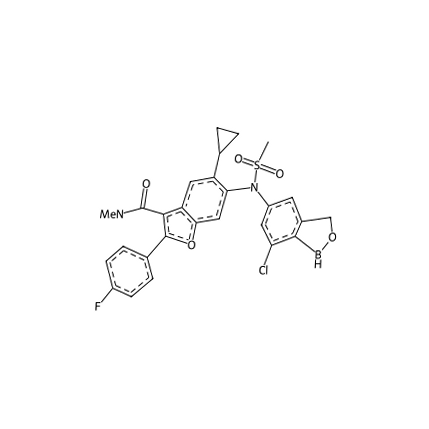 CNC(=O)c1c(-c2ccc(F)cc2)oc2cc(N(c3cc(Cl)c4c(c3)COB4)S(C)(=O)=O)c(C3CC3)cc12